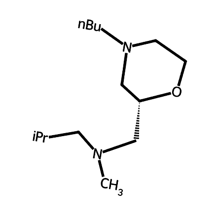 CCCCN1CCO[C@H](CN(C)CC(C)C)C1